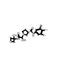 CC1(NC(=O)C(O)N2CC[C@H](C(=O)Nc3cc(F)c(F)c(Br)c3)C2)COC1